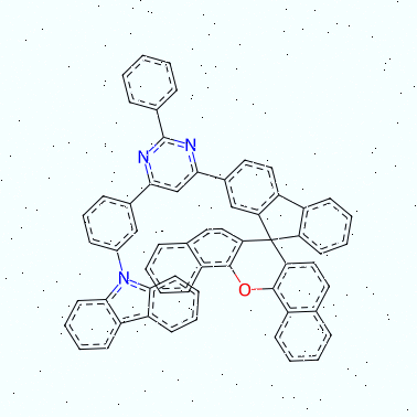 c1ccc(-c2nc(-c3cccc(-n4c5ccccc5c5ccccc54)c3)cc(-c3ccc4c(c3)C3(c5ccccc5-4)c4ccc5ccccc5c4Oc4c3ccc3ccccc43)n2)cc1